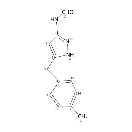 Cc1ccc(Cc2cc(NC=O)n[nH]2)cc1